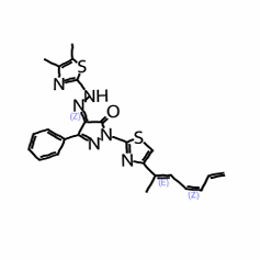 C=C/C=C\C=C(/C)c1csc(N2N=C(c3ccccc3)/C(=N/Nc3nc(C)c(C)s3)C2=O)n1